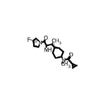 C[C@@H](C1CCC(N(C)C(=O)C2CC2)CC1)C(N)C(=O)N1CC[C@H](F)C1